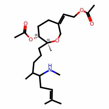 CNC(CC=C(C)C)C(C)CCC[C@]1(C)OCC(=CCOC(C)=O)CC[C@H]1OC(C)=O